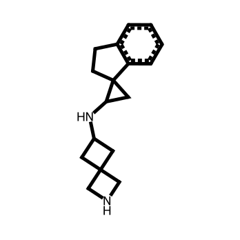 c1ccc2c(c1)CCC21CC1NC1CC2(CNC2)C1